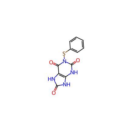 O=c1[nH]c2[nH]c(=O)n(Sc3ccccc3)c(=O)c2[nH]1